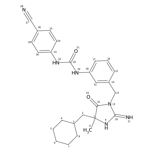 CC1(CC2CCCCC2)NC(=N)N(Cc2cccc(NC(=O)Nc3ccc(C#N)cc3)c2)C1=O